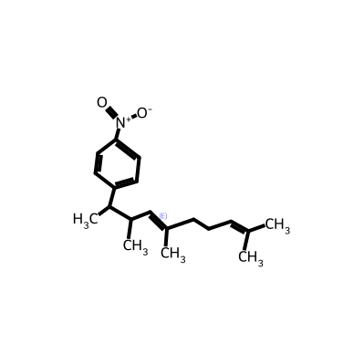 CC(C)=CCC/C(C)=C/C(C)C(C)c1ccc([N+](=O)[O-])cc1